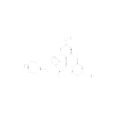 O=C1OC2(c3ccc(O)cc3Oc3cc(O)ccc32)c2cccc(CN3CCNCC3)c21